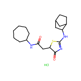 Cl.O=C(CC1SC(NC2CC3CCC2C3)=NC1=O)NC1CCCCCC1